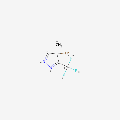 CC1(Br)[C]=NN=C1C(F)(F)F